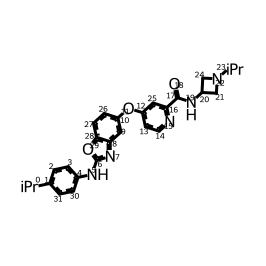 CC(C)c1ccc(Nc2nc3cc(Oc4ccnc(C(=O)NC5CN(C(C)C)C5)c4)ccc3o2)cc1